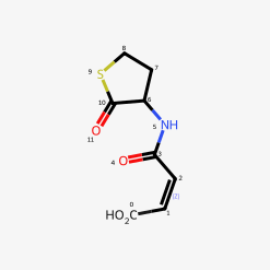 O=C(O)/C=C\C(=O)NC1CCSC1=O